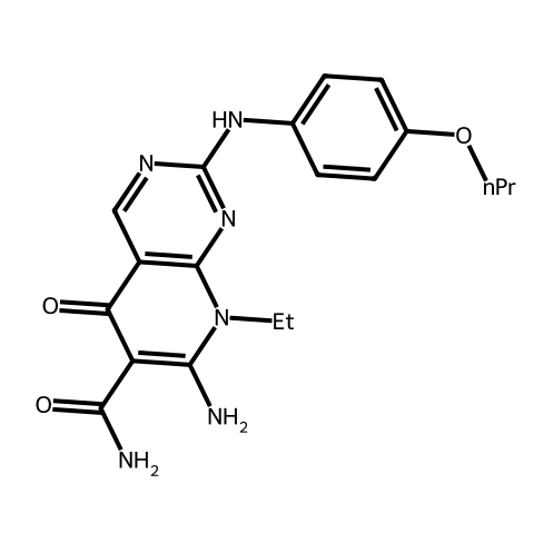 CCCOc1ccc(Nc2ncc3c(=O)c(C(N)=O)c(N)n(CC)c3n2)cc1